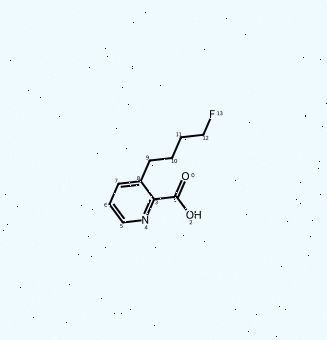 O=C(O)c1ncccc1CCCCF